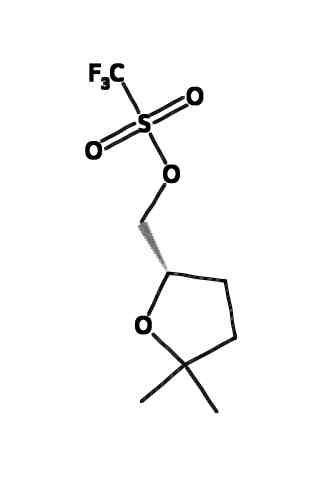 CC1(C)CC[C@@H](COS(=O)(=O)C(F)(F)F)O1